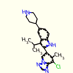 Cc1c(-c2[nH]c3ccc(C4CCNCC4)cc3c2C(C)C)cn2ncnc2c1Cl